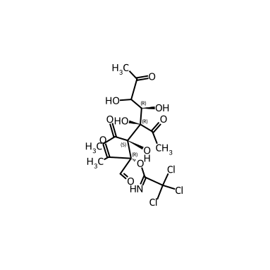 CC(=O)C(O)[C@@H](O)[C@](O)(C(C)=O)[C@@](O)(C(C)=O)[C@](C=O)(OC(=N)C(Cl)(Cl)Cl)C(C)=O